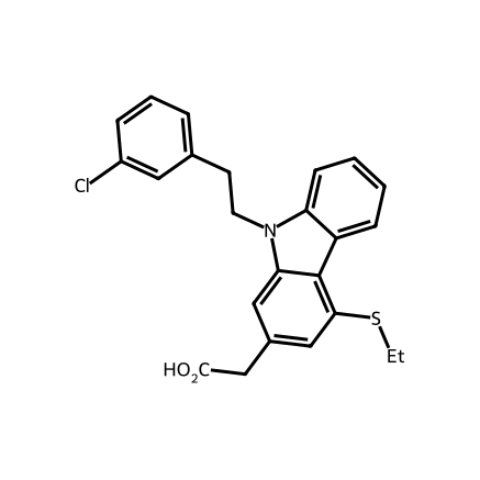 CCSc1cc(CC(=O)O)cc2c1c1ccccc1n2CCc1cccc(Cl)c1